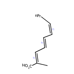 CCC\C=C/C=C/C=C(\C)C(=O)O